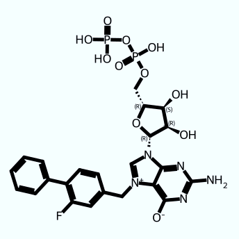 Nc1nc([O-])c2c(n1)n([C@@H]1O[C@H](COP(=O)(O)OP(=O)(O)O)[C@@H](O)[C@H]1O)c[n+]2Cc1ccc(-c2ccccc2)c(F)c1